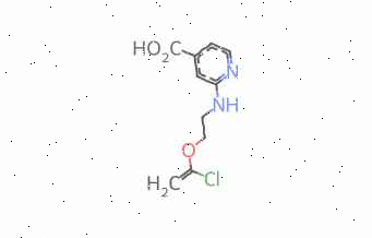 C=C(Cl)OCCNc1cc(C(=O)O)ccn1